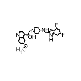 COc1ccc2nccc([C@@H](O)CN3CCC(NCc4cc5c(F)cc(F)cc5[nH]4)CC3)c2c1